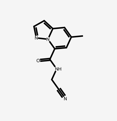 Cc1cc(C(=O)NCC#N)n2nccc2c1